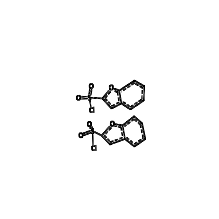 O=S(=O)(Cl)c1cc2ccccc2o1.O=S(=O)(Cl)c1cc2ccccc2o1